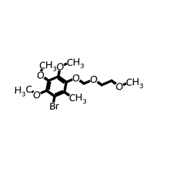 COCCOCOc1c(C)c(Br)c(OC)c(OC)c1OC